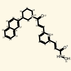 O=C(/C=C/c1cccc(/C=C/C(=O)N2CCCC(c3ccc4ccccc4c3)C2)n1)NO